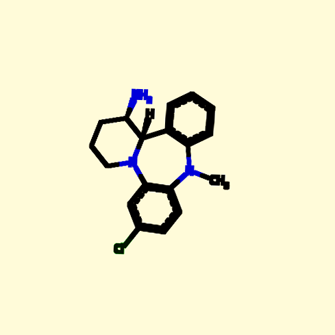 CN1c2ccccc2[C@H]2[C@H](N)CCCN2c2cc(Cl)ccc21